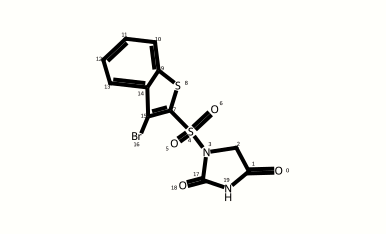 O=C1CN(S(=O)(=O)c2sc3ccccc3c2Br)C(=O)N1